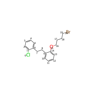 Clc1ccccc1CCc1ccccc1OCCCCBr